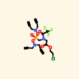 C#CCN(CC#C)OP(=O)(CN(CC(=O)OCCCl)C(=O)C(F)(F)F)ON(CC#C)CC#C